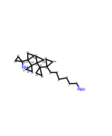 [NH]CCCCCCC1(C2(C3(C4(C5(C6(N)CC6)CC5)CC4)CC3)CC2)CC1